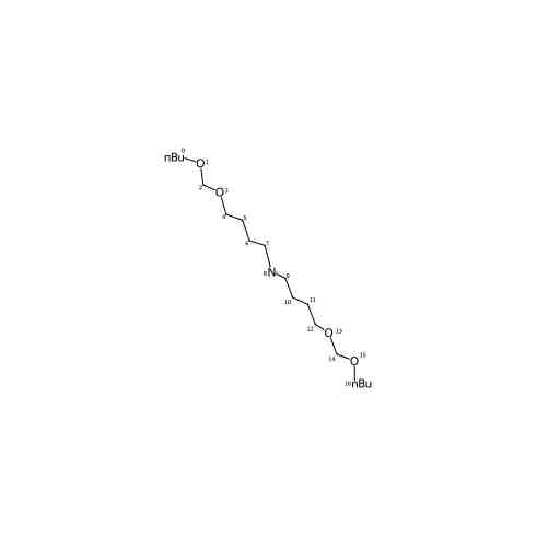 CCCCOCOCCCC[N]CCCCOCOCCCC